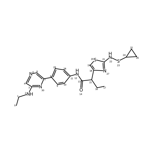 CCNc1cncc(-c2ccc(NC(=O)C(CC)c3csc(NSC4CC4)n3)cc2)n1